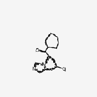 O=C(c1cc(Cl)cc2cncn12)C1CCCCC1